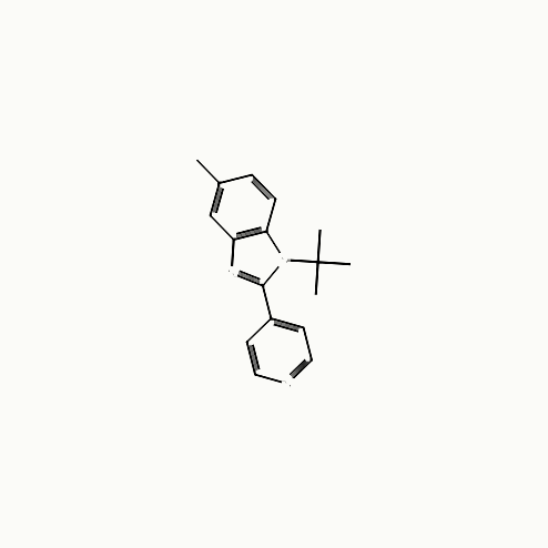 Cc1ccc2c(c1)nc(-c1ccncc1)n2C(C)(C)C